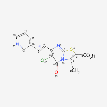 Cc1c(C(=O)O)sc2nc(/C=C/c3cccnc3)c(Cl)c(=O)n12